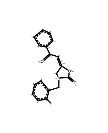 Cc1ccccc1CN1C/C(=C\C(=O)c2ccccc2)OC1=O